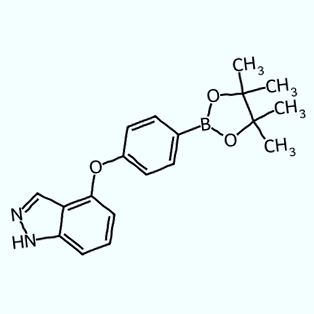 CC1(C)OB(c2ccc(Oc3cccc4[nH]ncc34)cc2)OC1(C)C